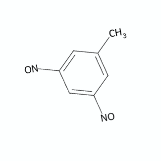 Cc1cc(N=O)cc(N=O)c1